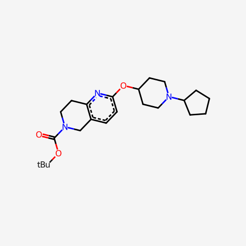 CC(C)(C)OC(=O)N1CCc2nc(OC3CCN(C4CCCC4)CC3)ccc2C1